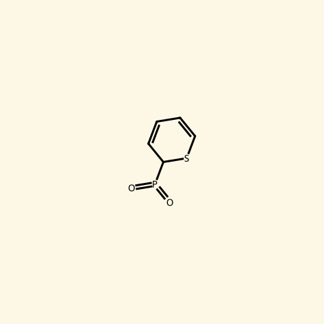 O=P(=O)C1C=CC=CS1